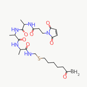 BC(=O)CCCCCSCNC(=O)C(C)NC(=O)C(C)NC(=O)C(C)NC(=O)CCN1C(=O)C=CC1=O